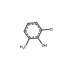 [CH2]c1cccc(Cl)c1O